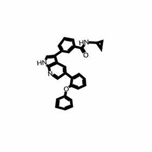 O=C(NC1CC1)c1cccc(-c2c[nH]c3ncc(-c4ccccc4Oc4ccccc4)cc23)c1